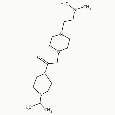 CC(C)N1CCN(C(=O)CN2CCN(CCN(C)C)CC2)CC1